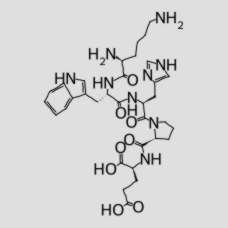 NCCCC[C@H](N)C(=O)N[C@@H](Cc1c[nH]c2ccccc12)C(=O)N[C@@H](Cc1c[nH]cn1)C(=O)N1CCC[C@H]1C(=O)N[C@@H](CCC(=O)O)C(=O)O